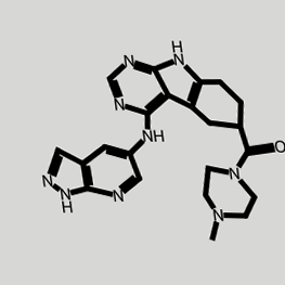 CN1CCN(C(=O)C2CCc3[nH]c4ncnc(Nc5cnc6[nH]ncc6c5)c4c3C2)CC1